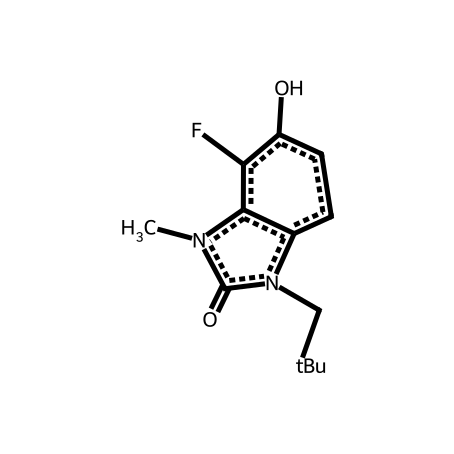 Cn1c(=O)n(CC(C)(C)C)c2ccc(O)c(F)c21